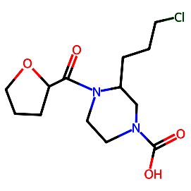 O=C(O)N1CCN(C(=O)C2CCCO2)C(CCCCl)C1